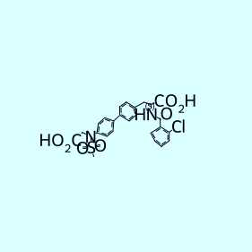 CS(=O)(=O)N(CC(=O)O)c1ccc(-c2ccc(C[C@H](NC(=O)c3ccccc3Cl)C(=O)O)cc2)cc1